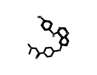 CN(C)CC(=O)N1CCC(Oc2ccc3ncnc(Nc4ccc(O)cc4)c3c2)CC1